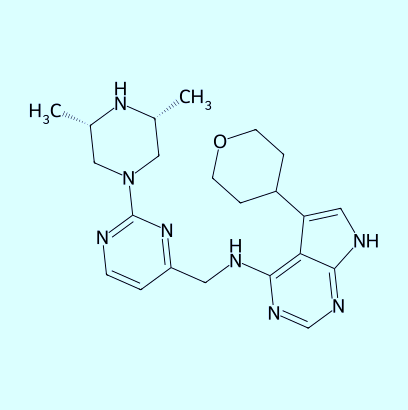 C[C@@H]1CN(c2nccc(CNc3ncnc4[nH]cc(C5CCOCC5)c34)n2)C[C@H](C)N1